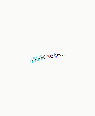 CCCCCc1cnc(-c2ccc(OC(=O)[C@H]3CC[C@H](C(F)(F)C(F)(F)C(F)(F)C(F)(F)C(F)(F)C(F)(F)C(F)(F)F)CC3)cc2)nc1